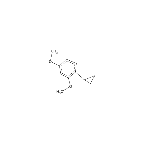 COc1ccc([C]2CC2)c(OC)c1